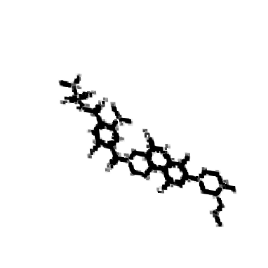 COC[C@H]1CN(c2cc(Cl)c3c4c(c(=O)oc3c2C)CN(C(=O)c2cc(N(C)C)c(C(=O)NS(=O)(=O)N(C)C)cc2F)CC4)CCN1C